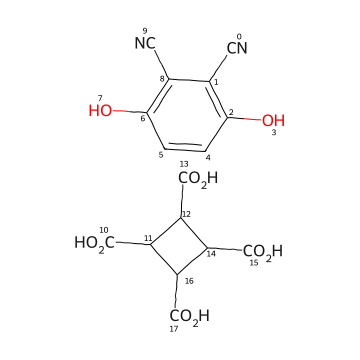 N#Cc1c(O)ccc(O)c1C#N.O=C(O)C1C(C(=O)O)C(C(=O)O)C1C(=O)O